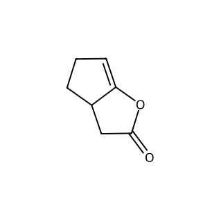 O=C1CC2CCC=C2O1